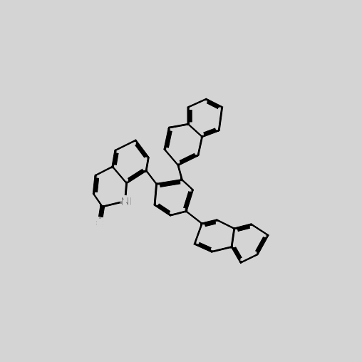 O=c1ccc2cccc(-c3ccc(-c4ccc5ccccc5c4)cc3-c3ccc4ccccc4c3)c2[nH]1